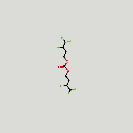 O=C(OCCC(F)C(F)F)OCCC(F)C(F)F